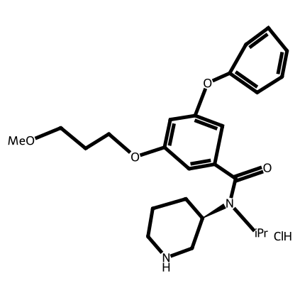 COCCCOc1cc(Oc2ccccc2)cc(C(=O)N(C(C)C)[C@@H]2CCCNC2)c1.Cl